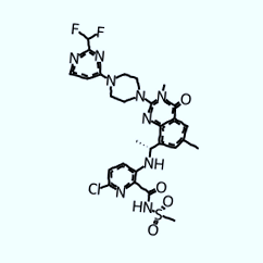 Cc1cc([C@@H](C)Nc2ccc(Cl)nc2C(=O)NS(C)(=O)=O)c2nc(N3CCN(c4ccnc(C(F)F)n4)CC3)n(C)c(=O)c2c1